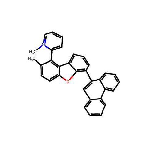 Cc1ccc2oc3c(-c4cc5ccccc5c5ccccc45)cccc3c2c1-c1cccc[n+]1C